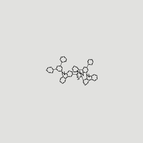 c1ccc(-c2cc(-c3ccccc3)cc(-n3c4ccccc4c4cc(-c5nnc(-c6cccc7c8ccccc8n(-c8cc(-c9ccccc9)cc(-c9ccccc9)c8)c67)s5)ccc43)c2)cc1